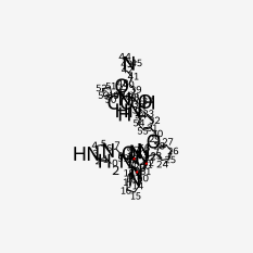 CC1CNCCN1CCOc1cc(N2C3CCC2CN(c2cc(-c4ccccc4OCc4ccc(NC(=O)[C@H](CCCCN(C)C)NC(=O)C5(C(=O)O)CCC5)cc4)nnc2N)C3)ccn1